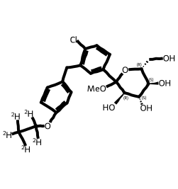 [2H]C([2H])([2H])C([2H])([2H])Oc1ccc(Cc2cc(C3(OC)O[C@H](CO)[C@@H](O)[C@H](O)[C@H]3O)ccc2Cl)cc1